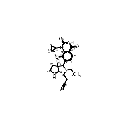 CCN(CCC#N)C(c1ccc2c(=O)[nH]c(=O)n(C3CC3)c2c1OC)C1(C)CCNC1